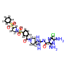 Nc1nc(N)c(C(=O)/N=C2\NCC3(CCN(C(=O)c4cccc(S(=O)(=O)N5CCC(S(=O)(=O)c6ccccc6)C5)c4)CC3)N2)nc1Cl